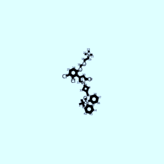 CC(C)(C)[Si](OCC1CC(N2CC(c3c(OCOCC[Si](C)(C)C)ccc(Cl)c3Cl)CC2=O)C1)(c1ccccc1)c1ccccc1